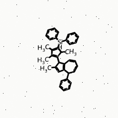 CC1=CC2=C(C=CC=CC2c2ccccc2)C1C1=C(C)C(C)=C([SiH](c2ccccc2)c2ccccc2)C1C